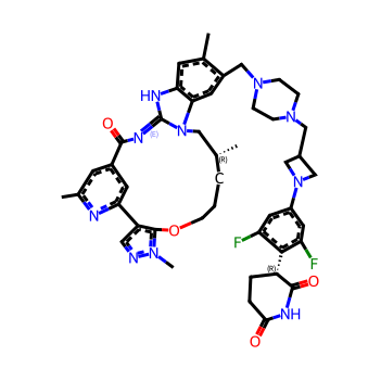 Cc1cc2cc(n1)-c1cnn(C)c1OCCC[C@@H](C)CN1/C(=N/C2=O)Nc2cc(C)c(CN3CCN(CC4CN(c5cc(F)c([C@H]6CCC(=O)NC6=O)c(F)c5)C4)CC3)cc21